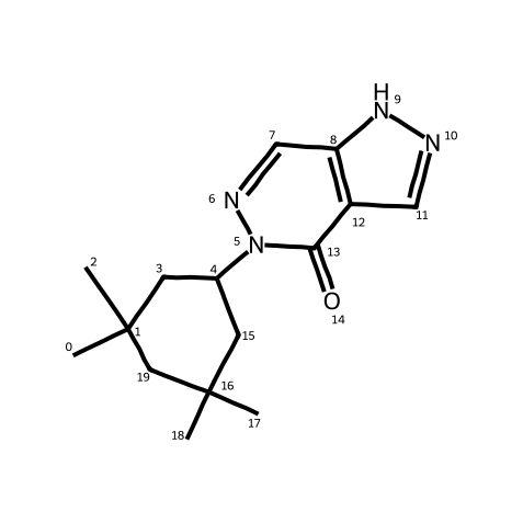 CC1(C)CC(n2ncc3[nH]ncc3c2=O)CC(C)(C)C1